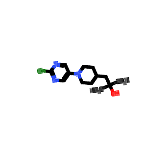 O=C(O)C(O)(CC1CCN(c2cnc(Cl)nc2)CC1)C(=O)O